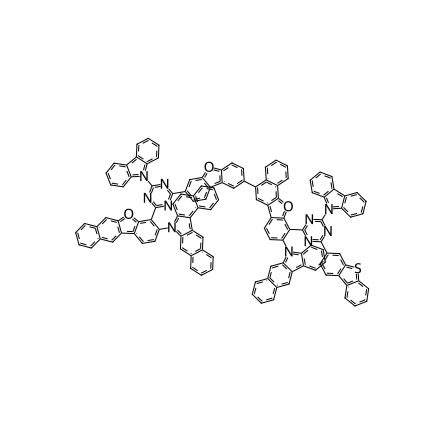 c1ccc2cc3c(cc2c1)oc1c(-c2nc(-c4ccc5c(c4)oc4ccc(-c6cc7c8ccc(-n9c%10ccccc%10c%10cc%11ccccc%11cc%109)c(-c9nc(-c%10ccc%11c(c%10)sc%10ccccc%10%11)nc(-n%10c%11ccccc%11c%11ccccc%11%10)n9)c8oc7c7ccccc67)cc45)nc(-n4c5ccccc5c5ccccc54)n2)c(-n2c4cc5ccccc5cc4c4c5ccccc5ccc42)ccc13